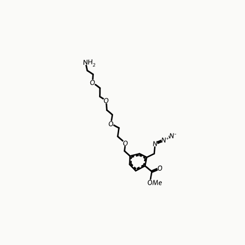 COC(=O)c1ccc(COCCOCCOCCOCCN)cc1CN=[N+]=[N-]